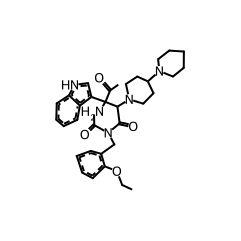 CCOc1ccccc1CN(C(C)=O)C(=O)C(N1CCC(N2CCCCC2)CC1)C(N)(C(C)=O)c1c[nH]c2ccccc12